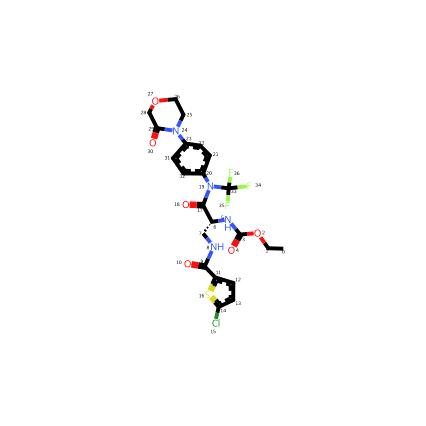 CCOC(=O)N[C@H](CNC(=O)c1ccc(Cl)s1)C(=O)N(c1ccc(N2CCOCC2=O)cc1)C(F)(F)F